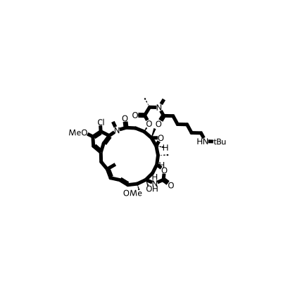 COc1cc2cc(c1Cl)N(C)C(=O)C[C@H](OC(=O)[C@H](C)N(C)C(=O)CCCCCNC(C)(C)C)[C@]1(C)O[C@H]1[C@H](C)[C@@H]1C[C@@](O)(NC(=O)O1)[C@H](OC)/C=C/C=C(\C)C2